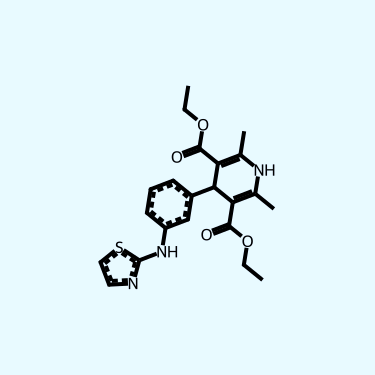 CCOC(=O)C1=C(C)NC(C)=C(C(=O)OCC)C1c1cccc(Nc2nccs2)c1